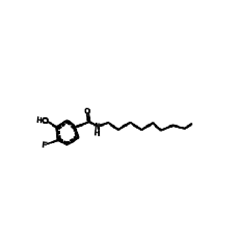 CCCCCCCCCNC(=O)c1ccc(F)c(O)c1